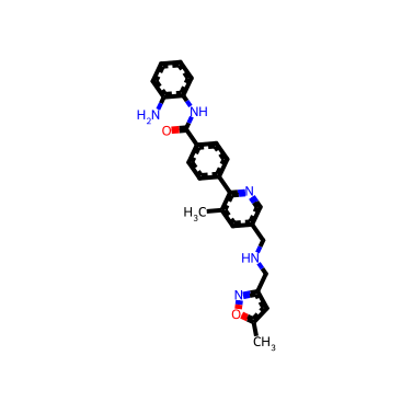 Cc1cc(CNCc2cnc(-c3ccc(C(=O)Nc4ccccc4N)cc3)c(C)c2)no1